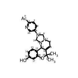 CC(=O)c1ccc(N2CN3CC=C4C(c5ccc(O)cc5OC4(C)C)N3C2)cn1